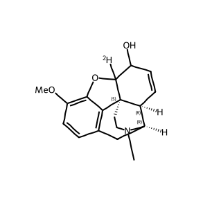 [2H]C12Oc3c(OC)ccc4c3[C@@]13CCN(C)[C@H](C4)[C@@H]3C=CC2O